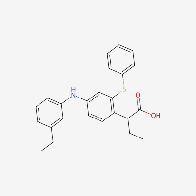 CCc1cccc(Nc2ccc(C(CC)C(=O)O)c(Sc3ccccc3)c2)c1